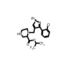 CC(C)n1cc(CN2CCNCC2C(=O)OC(C(F)(F)F)C(F)(F)F)c(-c2ccccc2Cl)n1